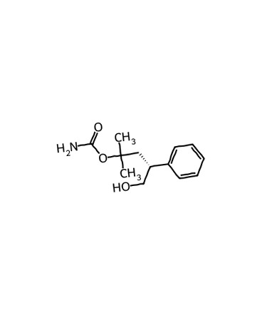 CC(C)(C[C@@H](CO)c1ccccc1)OC(N)=O